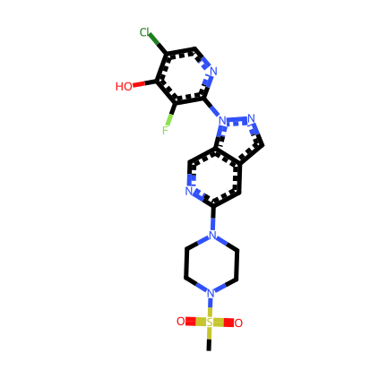 CS(=O)(=O)N1CCN(c2cc3cnn(-c4ncc(Cl)c(O)c4F)c3cn2)CC1